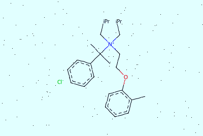 Cc1ccccc1OCC[N+](CC(C)C)(CC(C)C)C(C)(C)c1ccccc1.[Cl-]